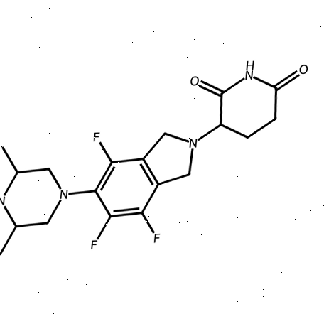 CC1CN(c2c(F)c(F)c3c(c2F)CN(C2CCC(=O)NC2=O)C3)CC(C)N1